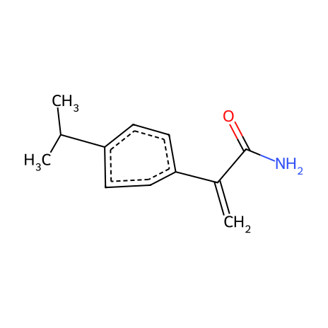 C=C(C(N)=O)c1ccc(C(C)C)cc1